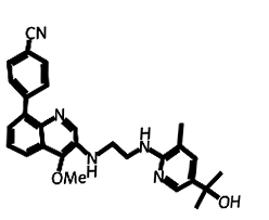 COc1c(NCCNc2ncc(C(C)(C)O)cc2C)cnc2c(-c3ccc(C#N)cc3)cccc12